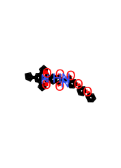 O=C1c2cc3c(cc2C(=O)C1c1nc2ccc(Oc4cccc(Oc5ccccc5)c4)cc2c(=O)[nH]1)C(=O)N(c1c(C2=CCC=C2)cc(C2=CC=CC2)cc1C1=CC=CC1)C3=O